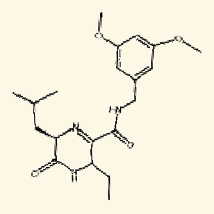 CCC1NC(=O)[C@@H](CC(C)C)N=C1C(=O)NCc1cc(OC)cc(OC)c1